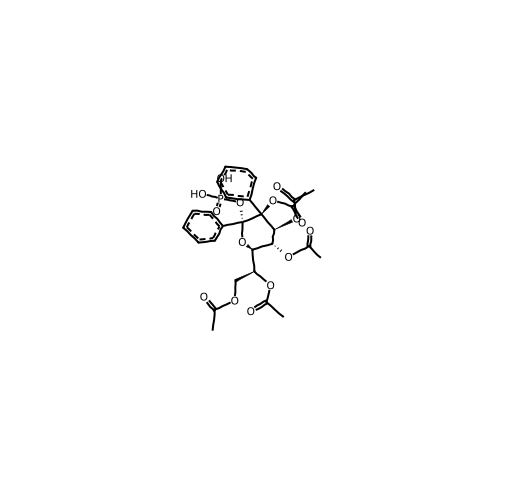 CC(=O)OC[C@H](OC(C)=O)[C@H]1O[C@@](OP(=O)(O)O)(c2ccccc2)[C@](OC(C)=O)(c2ccccc2)[C@@H](OC(C)=O)[C@@H]1OC(C)=O